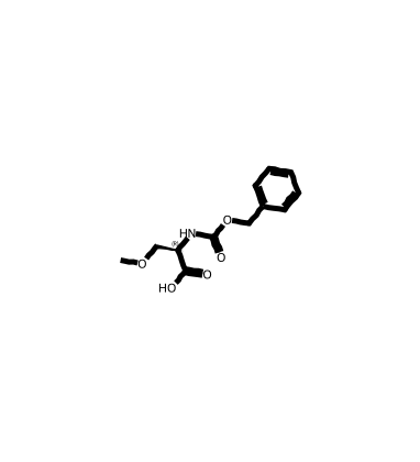 COC[C@@H](NC(=O)OCc1ccccc1)C(=O)O